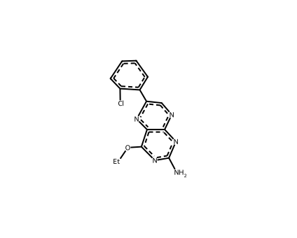 CCOc1nc(N)nc2ncc(-c3ccccc3Cl)nc12